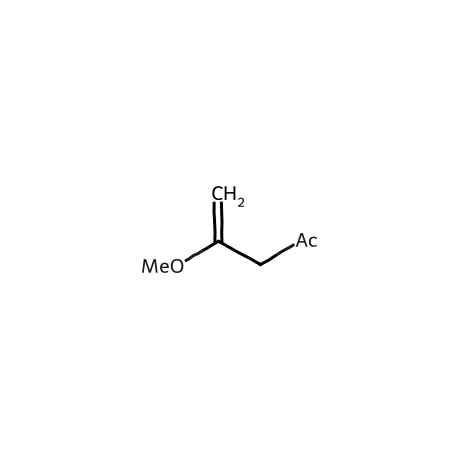 C=C(CC(C)=O)OC